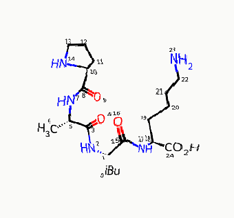 CC[C@H](C)[C@H](NC(=O)[C@H](C)NC(=O)[C@@H]1CCCN1)C(=O)N[C@@H](CCCCN)C(=O)O